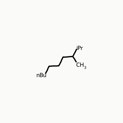 C[CH]CCCCCC(C)C(C)C